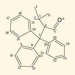 CC(C)(C)C([C]=O)C(c1ccccc1)(c1ccccc1)c1ccccc1